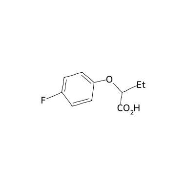 CCC(Oc1ccc(F)cc1)C(=O)O